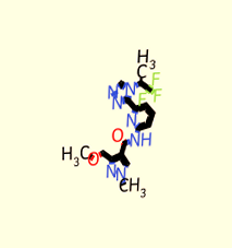 COCc1nn(C)cc1C(=O)Nc1cccc(-c2nncn2[C@@H](C)C(F)(F)F)n1